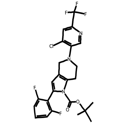 CC(C)(C)OC(=O)n1c(-c2c(F)cccc2F)cc2c1CCN(c1cnc(C(F)(F)F)cc1Cl)C2